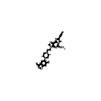 CC#Cc1nc2c3ncn(CCN4CCN(c5cc6c(C)noc6cc5F)CC4)c3nc(N)n2n1